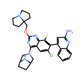 Nc1cc(-c2c(Cl)cc3c(N4CC5CCC(C4)N5)nc(OCC45CCCN4CCC5)nc3c2F)c2ccccc2n1